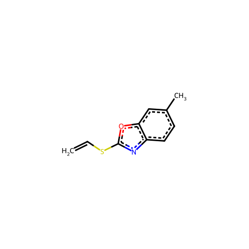 C=CSc1nc2ccc(C)cc2o1